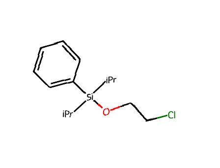 CC(C)[Si](OCCCl)(c1ccccc1)C(C)C